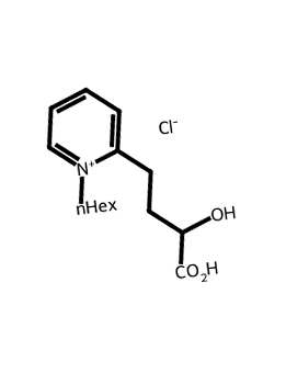 CCCCCC[n+]1ccccc1CCC(O)C(=O)O.[Cl-]